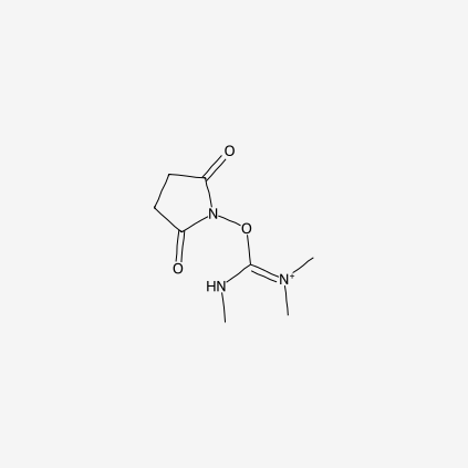 CNC(ON1C(=O)CCC1=O)=[N+](C)C